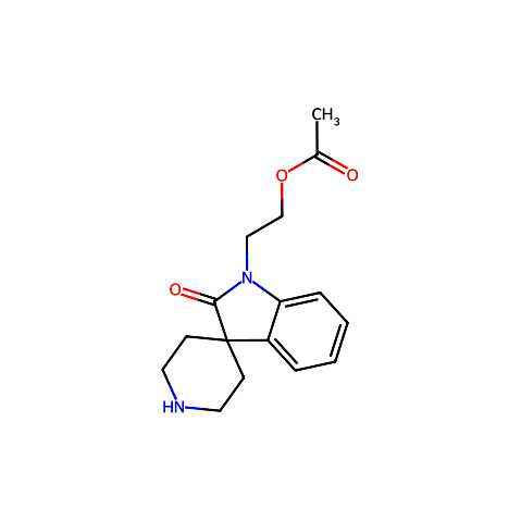 CC(=O)OCCN1C(=O)C2(CCNCC2)c2ccccc21